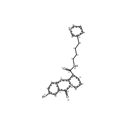 CC(C)c1ccc2nc3c(C(=O)NCCCCc4cccnc4)cccn3c(=O)c2c1